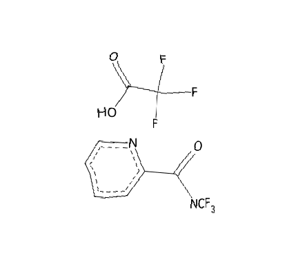 O=C(NC(F)(F)F)c1ccccn1.O=C(O)C(F)(F)F